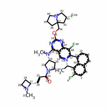 CCc1c(F)ccc2cccc(-c3ncc4c(N(C)[C@@H]5CCN(C(=O)/C=C/[C@H]6CCN6C)C5)nc(OCC56CCCN5C[C@H](F)C6)nc4c3F)c12